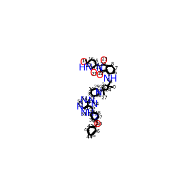 CC(C)(CNc1cccc2c1C(=O)N(C1CCC(=O)NC1=O)C2=O)CC(C)(C)N1CCCC(n2nc(-c3ccc(Oc4ccccc4)cc3)c3c(N)ncnc32)C1